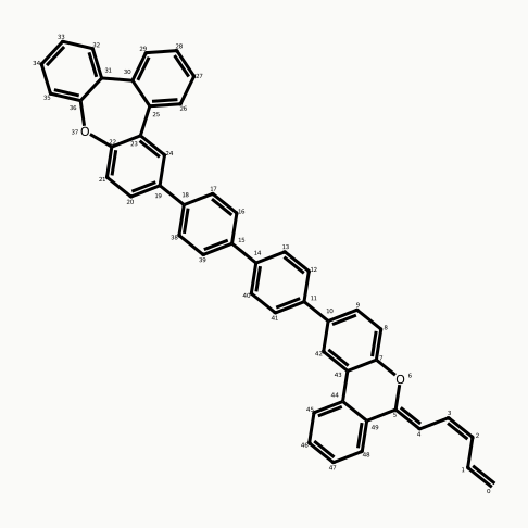 C=C/C=C\C=C1/Oc2ccc(-c3ccc(-c4ccc(-c5ccc6c(c5)-c5ccccc5-c5ccccc5O6)cc4)cc3)cc2-c2ccccc21